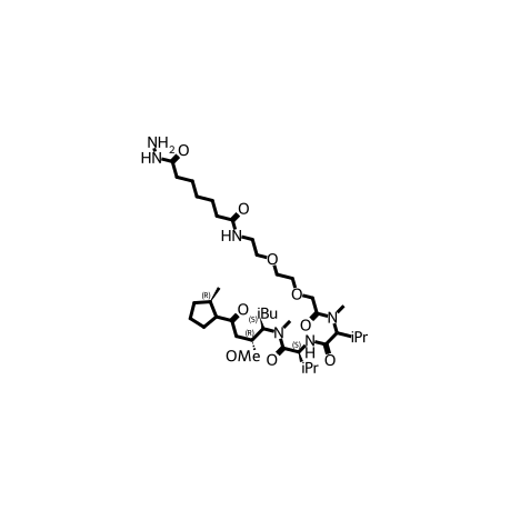 CC[C@H](C)C([C@@H](CC(=O)C1CCC[C@H]1C)OC)N(C)C(=O)[C@@H](NC(=O)C(C(C)C)N(C)C(=O)COCCOCCNC(=O)CCCCCC(=O)NN)C(C)C